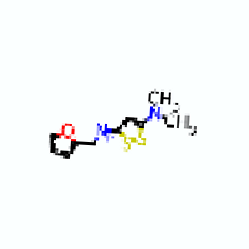 CN(C)c1c/c(=N/Cc2ccco2)ss1